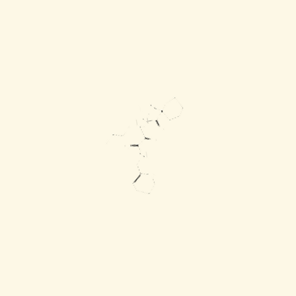 CCCC[C@H](NC(=O)C1(N)CCCCC1)C(=O)C(=O)NCC1=CCCCO1